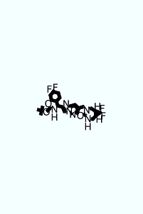 CC(C)(C)OC(=O)N[C@H](c1cn2ncc(CN3C[C@H]4[C@@H](CNC3=O)C4(F)F)cc2n1)C1CCC(F)(F)CC1